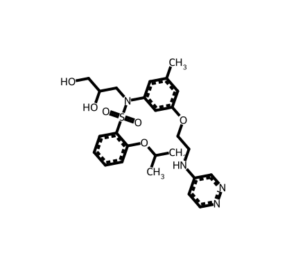 Cc1cc(OCCNc2ccnnc2)cc(N(CC(O)CO)S(=O)(=O)c2ccccc2OC(C)C)c1